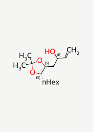 C=C[C@H](O)C[C@@H]1OC(C)(C)O[C@H]1CCCCCC